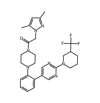 Cc1cc(C)n(CC(=O)N2CCN(c3ccccc3-c3cnc(N4CCCC(C(F)(F)F)C4)nc3)CC2)n1